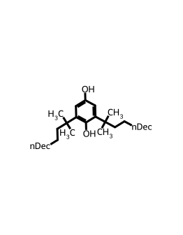 CCCCCCCCCCCCC(C)(C)c1cc(O)cc(C(C)(C)CCCCCCCCCCCC)c1O